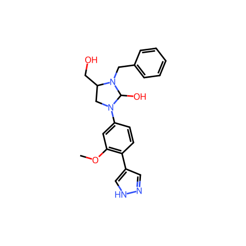 COc1cc(N2CC(CO)N(Cc3ccccc3)C2O)ccc1-c1cn[nH]c1